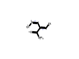 CC/C=C(\C=N/CC)C(N)=O